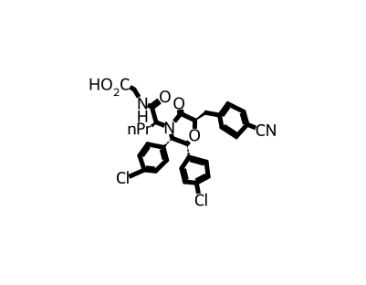 CCC[C@@H](C(=O)NCC(=O)O)N1C(=O)[C@@H](Cc2ccc(C#N)cc2)O[C@H](c2ccc(Cl)cc2)[C@@H]1c1ccc(Cl)cc1